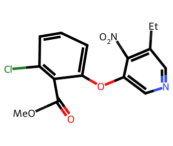 CCc1cncc(Oc2cccc(Cl)c2C(=O)OC)c1[N+](=O)[O-]